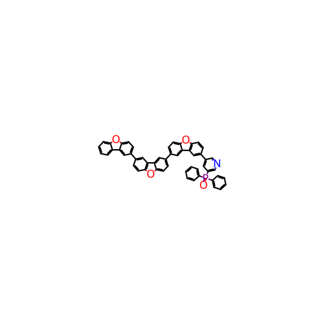 O=P(c1ccccc1)(c1ccccc1)c1cncc(-c2ccc3oc4ccc(-c5ccc6oc7ccc(-c8ccc9oc%10ccccc%10c9c8)cc7c6c5)cc4c3c2)c1